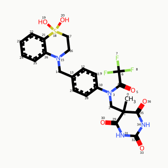 CC1(CN(C(=O)C(F)(F)F)c2ccc(CN3CCS(O)(O)c4ccccc43)cc2)C(=O)NC(=O)NC1=O